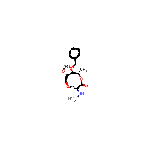 CCCCO[C@H]1COC[C@H](NC(=O)O)C(=O)O[C@@H](C)[C@@H]1OCc1ccccc1